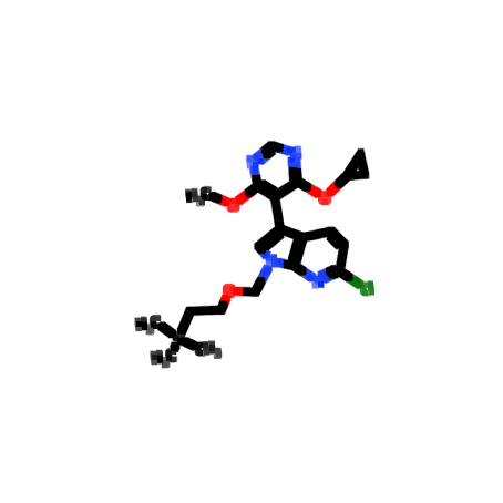 COc1ncnc(OC2CC2)c1-c1cn(COCC[Si](C)(C)C)c2nc(Cl)ccc12